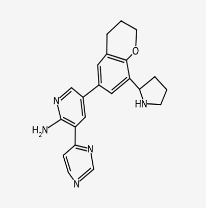 Nc1ncc(-c2cc3c(c(C4CCCN4)c2)OCCC3)cc1-c1ccncn1